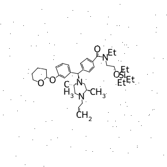 C=CCN1C[C@H](C)N([C@H](c2ccc(C(=O)N(CC)CCO[Si](CC)(CC)CC)cc2)c2cccc(OC3CCCCO3)c2)C[C@H]1C